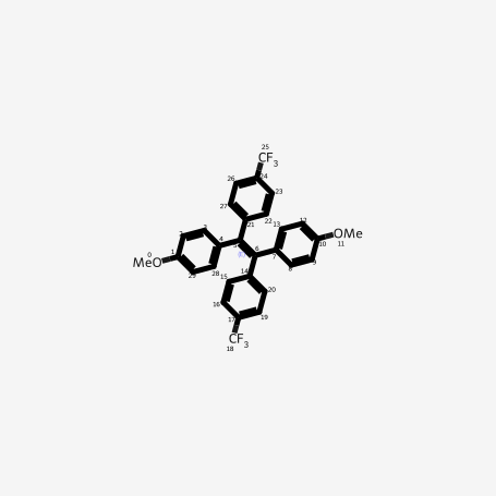 COc1ccc(/C(=C(/c2ccc(OC)cc2)c2ccc(C(F)(F)F)cc2)c2ccc(C(F)(F)F)cc2)cc1